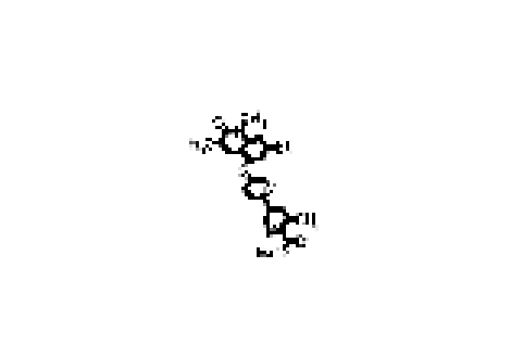 CCc1cc(Sc2ccc(-c3cnc(C(=O)OC)c(C)c3)nc2)c2cc(C)c(=O)n(C)c2c1